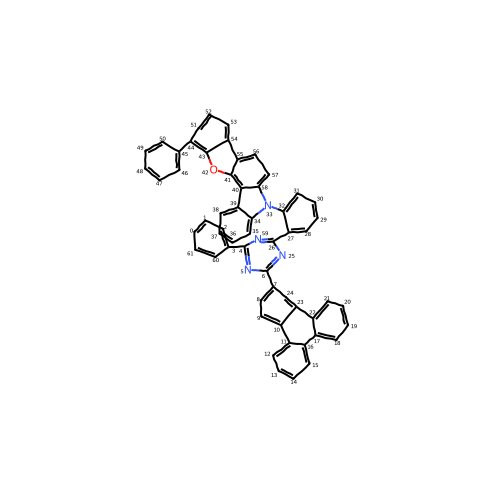 c1ccc(-c2nc(-c3ccc4c5ccccc5c5ccccc5c4c3)nc(-c3ccccc3-n3c4ccccc4c4c5oc6c(-c7ccccc7)cccc6c5ccc43)n2)cc1